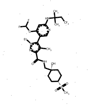 CCn1nc(C(=O)NC[C@]2(O)CC[C@@H](S(C)(=O)=O)CC2)c(C)c1-c1cnc(NC(C)(C)CC(F)(F)F)cc1OC(F)F